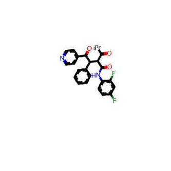 CC(C)C(=O)C(C(=O)Nc1ccc(F)cc1F)C(C(=O)c1ccncc1)c1ccccc1